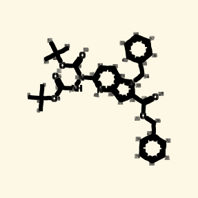 CC(C)(C)OC(=O)NN(C(=O)OC(C)(C)C)c1ccc2c(cc(C(=O)OCc3ccccc3)n2Cc2ccccc2)n1